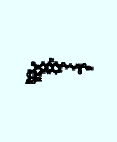 CCc1c2c(nc3ccc(OCCCNC(=O)OC(C)(C)C)cc13)-c1cc3c(c(=O)n1C2)COC(=O)[C@@]3(CC)OC(C)=O